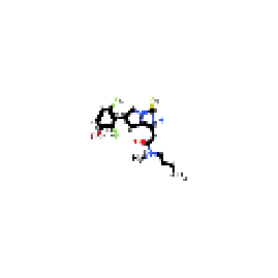 CCCCN(C)C(=O)Cc1[nH]c(=S)n2c1C[C@@H](c1c(F)ccc(Br)c1F)C2